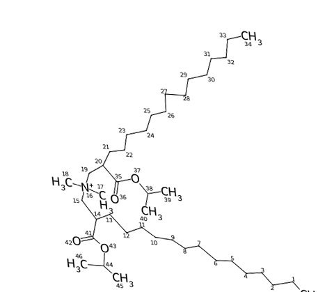 CCCCCCCCCCCCCCC(C[N+](C)(C)CC(CCCCCCCCCCCCCC)C(=O)OC(C)C)C(=O)OC(C)C